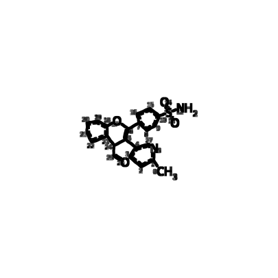 Cc1ccc(C2=C(c3ccc(S(N)(=O)=O)cc3)Oc3ccccc3C2C=O)cn1